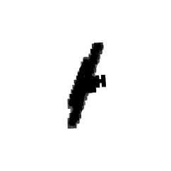 CCCCCCCCCCCC(O)CCCCCCCC.CCCCCCCCCCCCCCCCCCC(CCCCCCCCCCCCCCCC)C(=O)O